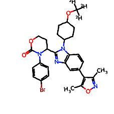 [2H]C([2H])([2H])OC1CCC(n2c(C3CCOC(=O)N3c3ccc(Br)cc3)nc3cc(-c4c(C)noc4C)ccc32)CC1